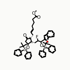 COC(=O)CCCC=CC[C@H]1C(=O)C[C@@H](O[Si](c2ccccc2)(c2ccccc2)C(C)(C)C)[C@H]1CC(F)C(O[Si](c1ccccc1)(c1ccccc1)C(C)(C)C)c1cc2ccccc2s1